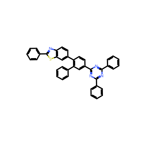 c1ccc(-c2nc(-c3ccccc3)nc(-c3ccc(-c4ccc5nc(-c6ccccc6)sc5c4)c(-c4ccccc4)c3)n2)cc1